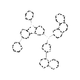 c1ccc(-c2ccc3c(c2)c2cc(N(c4ccc(-c5cccc6ccccc56)cc4)c4ccc5ccc6ccccc6c5c4)ccc2n3-c2ccccc2)cc1